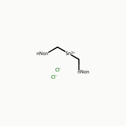 CCCCCCCCC[CH2][Sn+2][CH2]CCCCCCCCC.[Cl-].[Cl-]